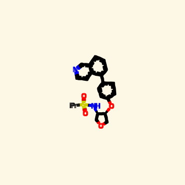 CC(C)S(=O)(=O)N[C@@H]1COC[C@@H]1Oc1ccc(-c2cccc3cnccc23)cc1